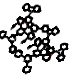 N#Cc1ccccc1-c1cc(-c2cc(-c3ccccc3)nc(-c3ccccc3)n2)cc(-c2ccccc2C#N)c1-n1c2ccc(-c3ccc4c5ccccc5n(-c5ccc6c(c5)c5cc(-n7c8ccccc8c8ccccc87)ccc5n6-c5c(-c6ccccc6C#N)cc(-c6cc(-c7ccccc7)nc(-c7ccccc7)n6)cc5-c5ccccc5C#N)c4c3)cc2c2cc(-n3c4ccccc4c4ccccc43)ccc21